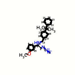 COc1cccc([C@H](CN=[N+]=[N-])NCc2ccc(C(C)(C)c3ccccc3)cc2)c1